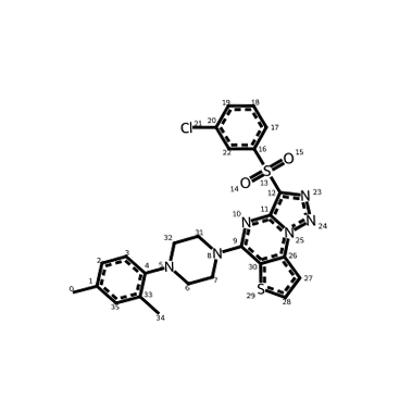 Cc1ccc(N2CCN(c3nc4c(S(=O)(=O)c5cccc(Cl)c5)nnn4c4ccsc34)CC2)c(C)c1